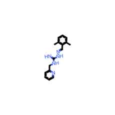 Cc1cccc(C)c1C=NNC(=N)NCc1ccccn1